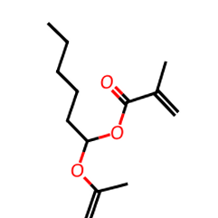 C=C(C)OC(CCCCC)OC(=O)C(=C)C